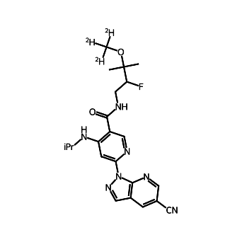 [2H]C([2H])([2H])OC(C)(C)C(F)CNC(=O)c1cnc(-n2ncc3cc(C#N)cnc32)cc1NC(C)C